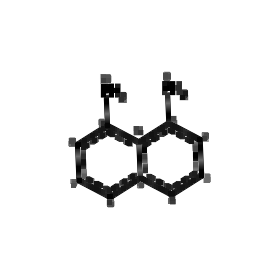 Pc1cccc2cccc(P)c12